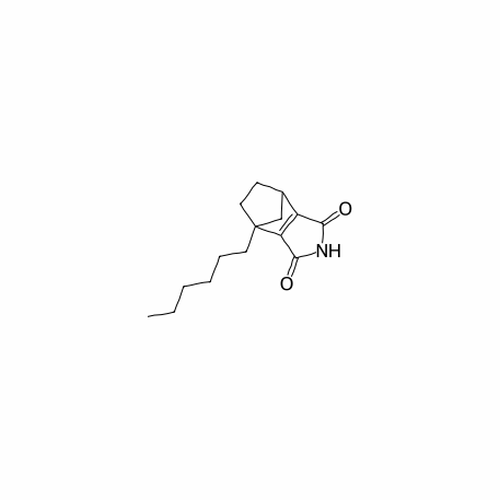 CCCCCCC12CCC(C1)C1=C2C(=O)NC1=O